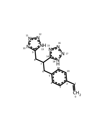 C=Cc1ccc(CC(Cc2nnn[nH]2)c2nnn[nH]2)cc1